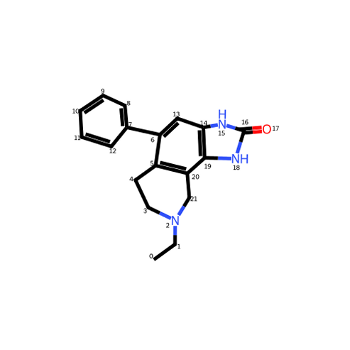 CCN1CCc2c(-c3ccccc3)cc3[nH]c(=O)[nH]c3c2C1